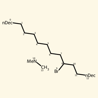 CCCCCCCCCCCCCCCCCC(Br)CCCCCCCCCCCC.CNC